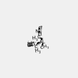 C[CH2][Al]([CH2]C)[CH2]C.[Cl-].[Cl-].[Cl-].[Cl][Ni][Cl].[Ti+3]